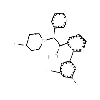 O[C@H](c1cccnc1-c1cc(Cl)cc(Cl)c1)[C@H](c1cccnc1)N1CCC(F)CC1